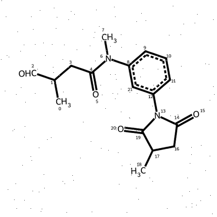 CC(C=O)CC(=O)N(C)c1cccc(N2C(=O)CC(C)C2=O)c1